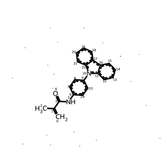 C=C(C)C(=O)Nc1ccc(-n2c3ccccc3c3ccccc32)cc1